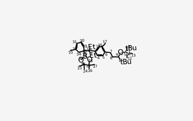 CCC(CC)(c1ccc(CCC(O[Si](C)(C)C(C)(C)C)C(C)(C)C)c(C)c1)C1(B2OC(C)(C)C(C)(C)O2)C=CC=C(C)C1